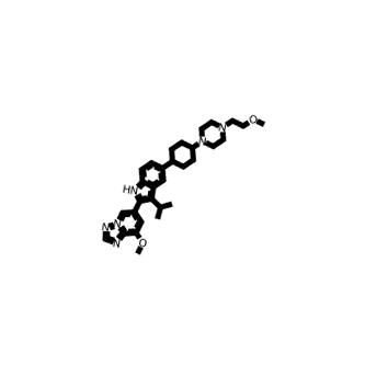 COCCN1CCN(C2CCC(c3ccc4[nH]c(-c5cc(OC)c6ncnn6c5)c(C(C)C)c4c3)CC2)CC1